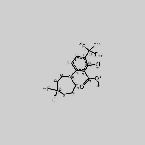 COC(=O)c1c(N2CCCC(F)(F)CC2)ccc(C(F)(F)F)c1Cl